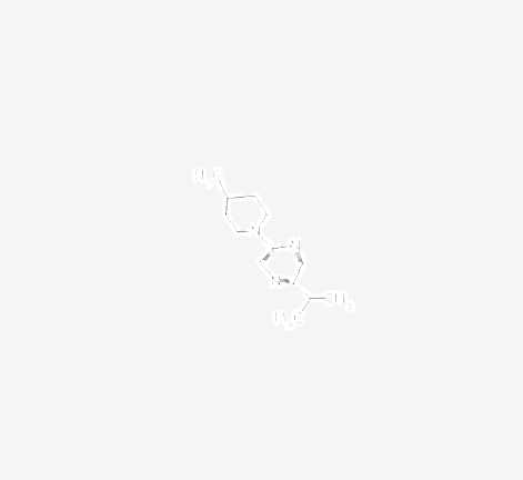 CC1CCN(c2cnc(C(C)C)cn2)CC1